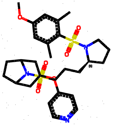 COc1cc(C)c(S(=O)(=O)N2CCC[C@H]2CCCS(=O)(=O)N2C3CCC2CC(Oc2ccncc2)C3)c(C)c1